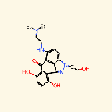 CCN(CC)CCNc1ccc2c3c(nn2CCO)-c2c(O)ccc(O)c2C(=O)c13